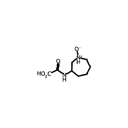 O=C(O)C(=O)NC1CCCC[NH+]([O-])C1